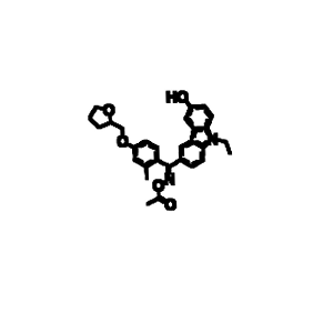 CCn1c2ccc(O)cc2c2cc(C(=NOC(C)=O)c3ccc(OCC4CCCO4)cc3C)ccc21